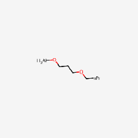 CCCCOCCC[O][AlH2]